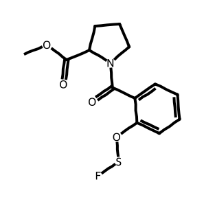 COC(=O)C1CCCN1C(=O)c1ccccc1OSF